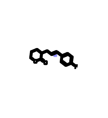 O=C1OCCCC1C/C=C/c1ccc(F)cc1